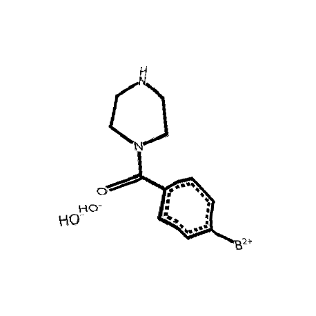 [B+2]c1ccc(C(=O)N2CCNCC2)cc1.[OH-].[OH-]